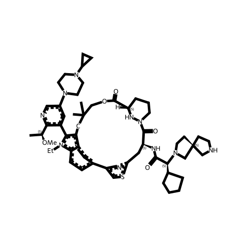 CCn1c(-c2cc(N3CCN(C4CC4)CC3)cnc2[C@H](C)OC)c2c3cc(ccc31)-c1csc(n1)C[C@H](NC(=O)[C@H](C1CCCC1)N1CC[C@]3(CCNC3)C1)C(=O)N1CCC[C@H](N1)C(=O)OCC(C)(C)C2